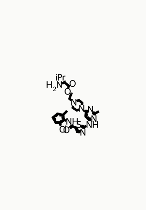 Cc1nc(Nc2ncc(C(=O)Nc3c(C)cccc3Cl)s2)cc(N2CCN(CCOC(=O)C(N)C(C)C)CC2)n1